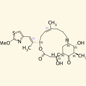 COc1nc(/C=C(\C)[C@@H]2C/C=C(/C)CCC[C@@H]3C[C@@](C)(C(=O)[C@H](C)[C@H]3O)[C@@H](O)CC(=O)O2)cs1